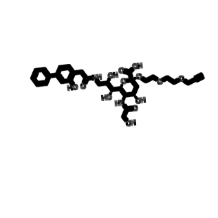 C#CCOCCOCCO[C@]1(C(=O)O)C[C@H](O)[C@@H](NC(=O)CO)[C@H]([C@H](O)[C@H](O)CNC(=O)Cc2ccc(-c3ccccc3)cc2O)O1